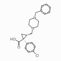 O=C(O)[C@@]1(c2ccc(Cl)cc2)C[C@H]1CN1CCN(Cc2ccccc2)CC1